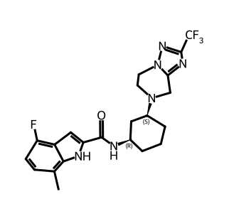 Cc1ccc(F)c2cc(C(=O)N[C@@H]3CCC[C@H](N4CCn5nc(C(F)(F)F)nc5C4)C3)[nH]c12